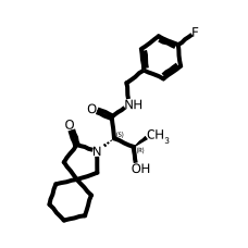 C[C@@H](O)[C@@H](C(=O)NCc1ccc(F)cc1)N1CC2(CCCCC2)CC1=O